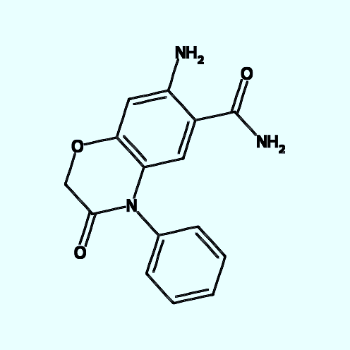 NC(=O)c1cc2c(cc1N)OCC(=O)N2c1ccccc1